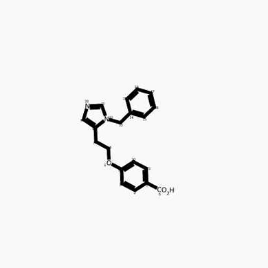 O=C(O)c1ccc(OCCc2cncn2Cc2ccccc2)cc1